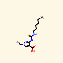 CCCCCCNC(=S)Nc1nn(CC)cc1C(=O)O